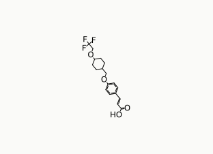 O=C(O)C=Cc1ccc(OCC2CCC(OCC(F)(F)F)CC2)cc1